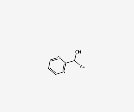 CC(=O)C(C#N)c1ncccn1